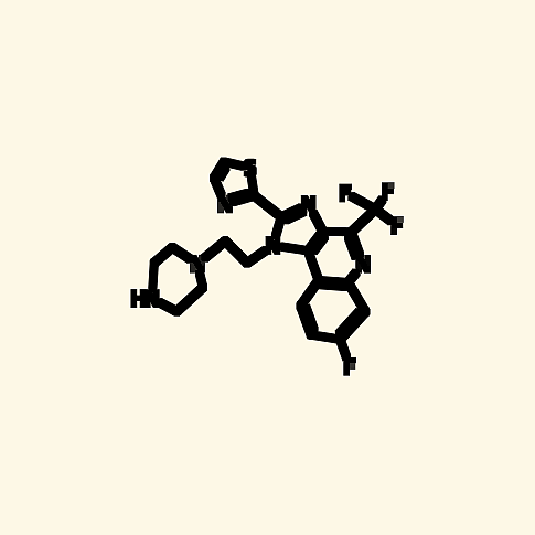 Fc1ccc2c(c1)nc(C(F)(F)F)c1nc(-c3nccs3)n(CCN3CCNCC3)c12